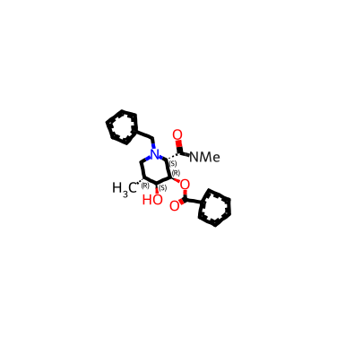 CNC(=O)[C@@H]1[C@@H](OC(=O)c2ccccc2)[C@@H](O)[C@H](C)CN1Cc1ccccc1